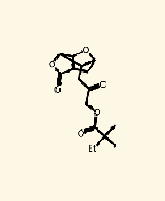 CCC(C)(C)C(=O)OCC(=O)CC1C2CC3C(=O)OC1C3O2